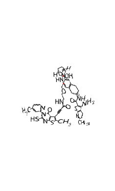 Cc1ccnc(-n2c(S)nc3sc(C)c(C#CC(=O)NCCOCCNC(O)C4[C@@H]5CC[C@H]4CN(c4ccc6c(c4)CC[C@H](NC(=O)c4sc7nc(C)ccc7c4N)C6)C5)c3c2=O)c1